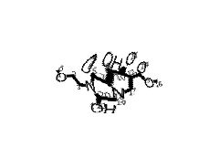 COCCN1C(=O)c2c(O)c(=O)c(C(=O)OC)cn2CC1O